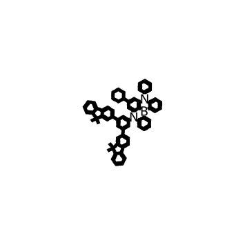 CC1(C)c2ccccc2-c2ccc(-c3cc(-c4ccc5c(c4)C(C)(C)c4ccccc4-5)cc(N4c5ccccc5B5c6ccccc6N(c6ccccc6)c6cc(C7CCCCC7)cc4c65)c3)cc21